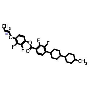 C/C=C/Oc1ccc(OC(=O)c2ccc(C3CCC(C4CCC(C)CC4)CC3)c(F)c2F)c(F)c1F